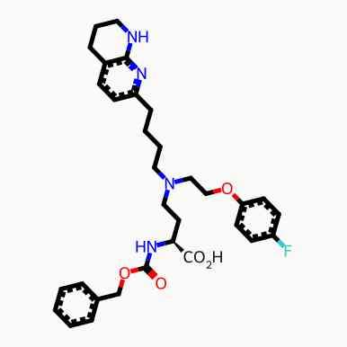 O=C(N[C@@H](CCN(CCCCc1ccc2c(n1)NCCC2)CCOc1ccc(F)cc1)C(=O)O)OCc1ccccc1